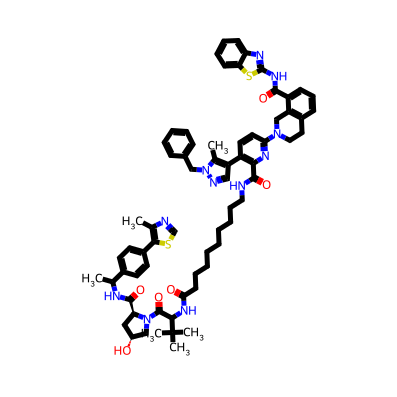 Cc1ncsc1-c1ccc(C(C)NC(=O)[C@@H]2C[C@@H](O)CN2C(=O)C(NC(=O)CCCCCCCCCNC(=O)c2nc(N3CCc4cccc(C(=O)Nc5nc6ccccc6s5)c4C3)ccc2-c2cnn(Cc3ccccc3)c2C)C(C)(C)C)cc1